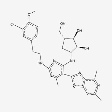 COc1ccc(CCNc2nc(C)c(-c3nc4c(C)nc(C)cc4s3)c(N[C@@H]3C[C@H](CO)[C@@H](O)[C@H]3O)n2)cc1Cl